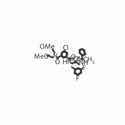 COCCN(CCOC)C(=O)c1cc(Cl)cc(C(=O)N[C@@H](Cc2cc(F)cc(F)c2)[C@H](O)CNC(C)(C)c2ccccc2)c1